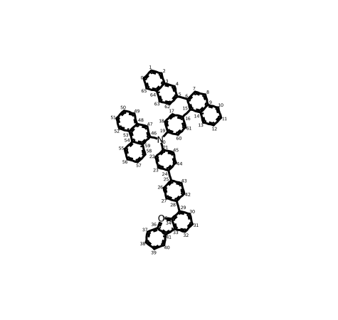 c1ccc2cc(-c3ccc4ccccc4c3-c3ccc(N(c4ccc(-c5ccc(-c6cccc7c6oc6ccccc67)cc5)cc4)c4cc5ccccc5c5ccccc45)cc3)ccc2c1